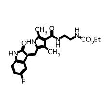 CCOC(=O)NCCNC(=O)c1c(C)[nH]c(C=C2C(=O)Nc3ccc(F)cc32)c1C